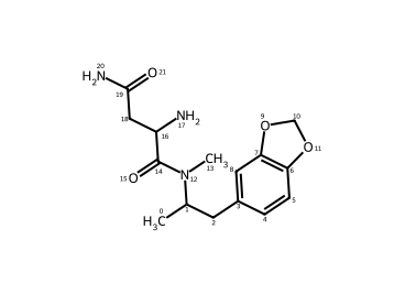 CC(Cc1ccc2c(c1)OCO2)N(C)C(=O)C(N)CC(N)=O